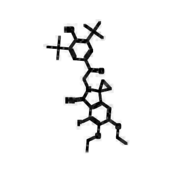 CCOc1cc2c(c(F)c1OCC)C(=N)N(CC(=O)c1cc(C(C)(C)C)c(O)c(C(C)(C)C)c1)C21CC1